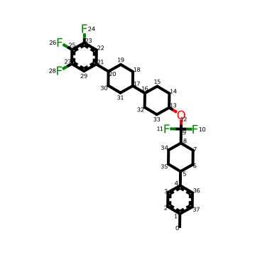 Cc1ccc(C2CCC(C(F)(F)OC3CCC(C4CCC(c5cc(F)c(F)c(F)c5)CC4)CC3)CC2)cc1